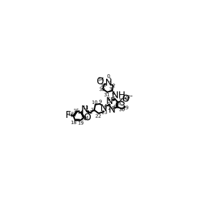 CN1C[C@@H](Nc2nc(N3CCC(c4nc5cc(F)ccc5o4)CC3)nc3c2[S@@+]([O-])CC3)CCC1=O